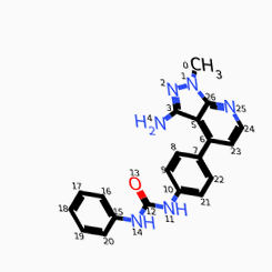 Cn1nc(N)c2c(-c3ccc(NC(=O)Nc4ccccc4)cc3)ccnc21